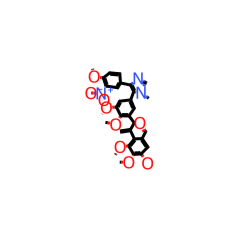 C=C(Cc1cc(-c2c(-c3ccc(OC)c([N+](=O)[O-])c3)ncn2C)cc(OC)c1OC)c1c(C=O)cc(OC)c(OC)c1OC